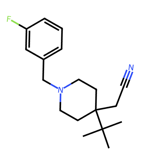 CC(C)(C)C1(CC#N)CCN(Cc2cccc(F)c2)CC1